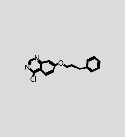 Clc1ncnc2cc(OCCCc3ccccc3)ccc12